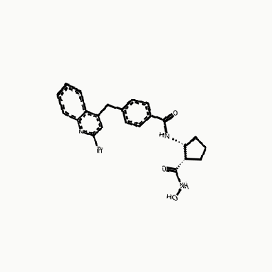 CC(C)c1cc(Cc2ccc(C(=O)N[C@@H]3CCC[C@@H]3C(=O)NO)cc2)c2ccccc2n1